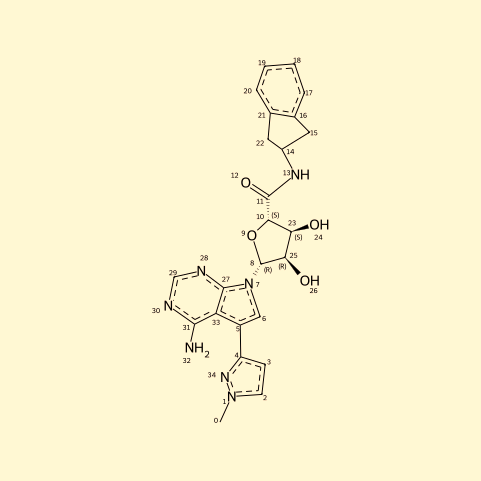 Cn1ccc(-c2cn([C@@H]3O[C@H](C(=O)NC4Cc5ccccc5C4)[C@@H](O)[C@H]3O)c3ncnc(N)c23)n1